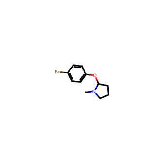 CN1CCCC1Oc1ccc(Br)cc1